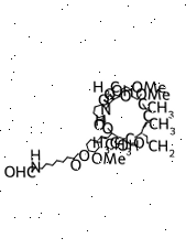 C=CC[C@@H]1/C=C(\C)C[C@H](C)C[C@H](OC)C2O[C@@](O)(C(=O)C(=O)N3CCCC[C@H]3C(=O)OC(/C(C)=C/[C@@H]3CC[C@@H](OCC(=O)CCCCCCNC=O)[C@H](OC)C3)[C@H](C)[C@@H](O)CC1=O)[C@H](C)C[C@@H]2OC